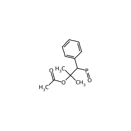 CC(=O)OC(C)(C)C(P=O)c1ccccc1